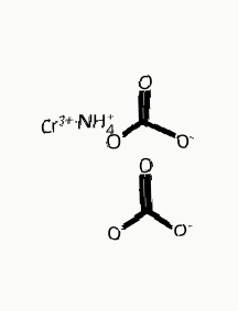 O=C([O-])[O-].O=C([O-])[O-].[Cr+3].[NH4+]